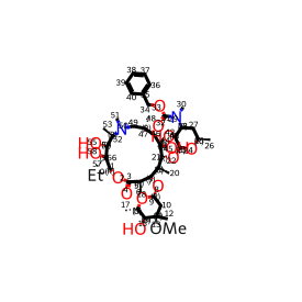 CC[C@H]1OC(=O)[C@H](C)[C@@H](O[C@H]2C[C@@](C)(OC)[C@@H](O)[C@H](C)O2)[C@H](C)[C@@H](O[C@@H]2O[C@H](C)C[C@H](N(C)C(=O)OCc3ccccc3)[C@H]2O)[C@@](C)(O)C[C@@H](C)CN(C)[C@H](C)[C@@H](O)[C@]1(C)O